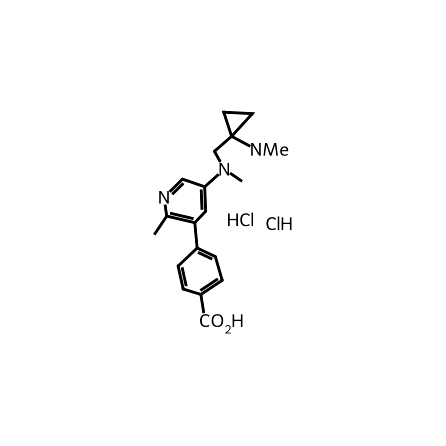 CNC1(CN(C)c2cnc(C)c(-c3ccc(C(=O)O)cc3)c2)CC1.Cl.Cl